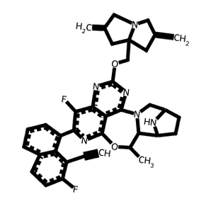 C#Cc1c(F)ccc2cccc(-c3nc4c5c(nc(OCC67CC(=C)CN6CC(=C)C7)nc5c3F)N3CC5CCC(N5)C3C(C)O4)c12